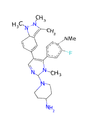 CNc1ccc(C2=C(C3=CC4=C(C)N(C)N(C)C4C=C3)C=NC(N3CCC(N)CC3)N2C)cc1F